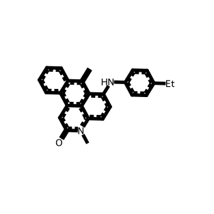 C=c1c2ccccc2c2cc(=O)n(C)c3ccc(Nc4ccc(CC)cc4)c1c23